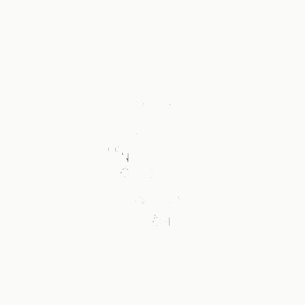 CCOC(=O)c1ccc(Sc2ccsc2C(=O)O)c([N+](=O)[O-])c1